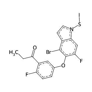 CCC(=O)c1cc(Oc2c(F)cc3c(ccn3SI)c2Br)ccc1F